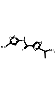 CC(N)c1ncc(C(=O)Nc2cc(C(C)(C)C)on2)s1